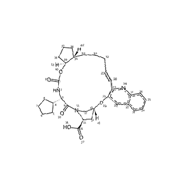 O=C1N[C@@H](C2CCCC2)C(=O)N2C[C@@H](C[C@H]2C(=O)O)Oc2cc3ccccc3nc2/C=C/CCC[C@H]2CCC[C@@H]2O1